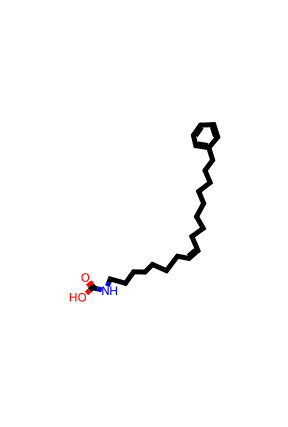 O=C(O)NCCCCCCC/C=C\CCCCCCCCc1ccccc1